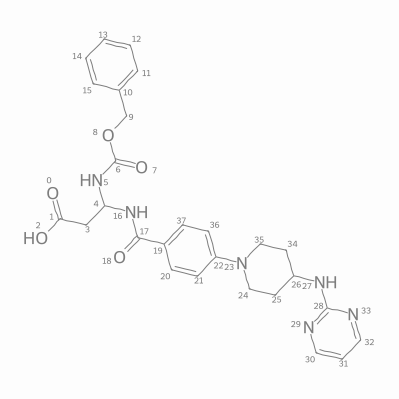 O=C(O)CC(NC(=O)OCc1ccccc1)NC(=O)c1ccc(N2CCC(Nc3ncccn3)CC2)cc1